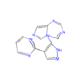 C1=NC=NC2=CN=C[N+]12c1[nH]ncc1-c1ncccn1